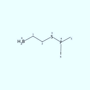 BCCSP(C)I